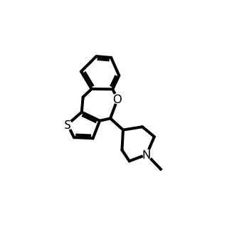 CN1CCC(C2Oc3ccccc3Cc3sccc32)CC1